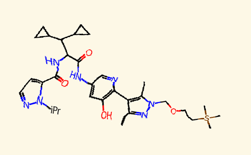 Cc1nn(COCCS(C)(C)C)c(C)c1-c1ncc(NC(=O)C(NC(=O)c2ccnn2C(C)C)C(C2CC2)C2CC2)cc1O